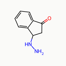 NNC1CC(=O)c2ccccc21